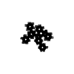 c1ccc(-c2ccc3c(c2)c2c4c5ccccc5sc4c4ccccc4c2n3-c2nc(-c3ccccc3)nc(-c3ccccc3)n2)cc1